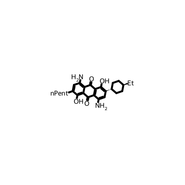 CCCCCc1cc(N)c2c(c1O)C(=O)c1c(N)cc([C@H]3CC[C@H](CC)CC3)c(O)c1C2=O